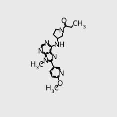 CCC(=O)N1CCC(Nc2ncnc3c2nc(-c2ccc(OC)nc2)n3C)C1